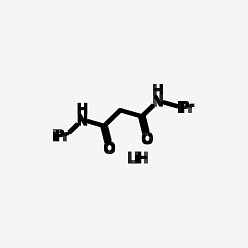 CC(C)NC(=O)CC(=O)NC(C)C.[LiH]